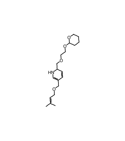 CC(C)=CCOCC1=CNC(COCCOC2CCCCO2)C=C1